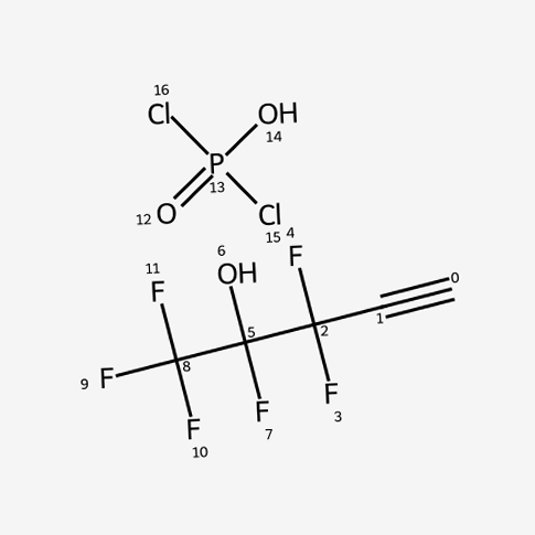 C#CC(F)(F)C(O)(F)C(F)(F)F.O=P(O)(Cl)Cl